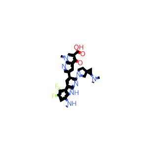 CNc1cc(F)c(F)c2c1[nH]c1nc(N3CCC4(CC4N(C)C)C3)c(-c3cnc4c(c3)c(=O)c(C(=O)O)cn4C)cc12